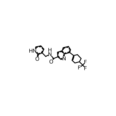 O=C(NCc1ccc[nH]c1=O)c1cnc2c(C3=CCC(C(F)(F)F)CC3)cccc2c1